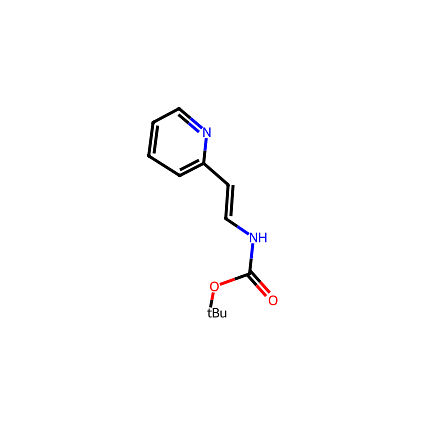 CC(C)(C)OC(=O)NC=Cc1ccccn1